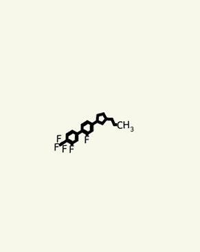 CCCC1CCC(c2ccc(-c3ccc(C(F)(F)F)c(F)c3)c(F)c2)C1